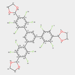 Fc1c(F)c(C2OCCO2)c(F)c(F)c1-c1cc(-c2c(F)c(F)c(C3OCCO3)c(F)c2F)cc(-c2c(F)c(F)c(C3OCCO3)c(F)c2F)c1